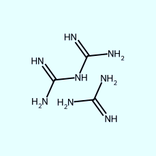 N=C(N)N.N=C(N)NC(=N)N